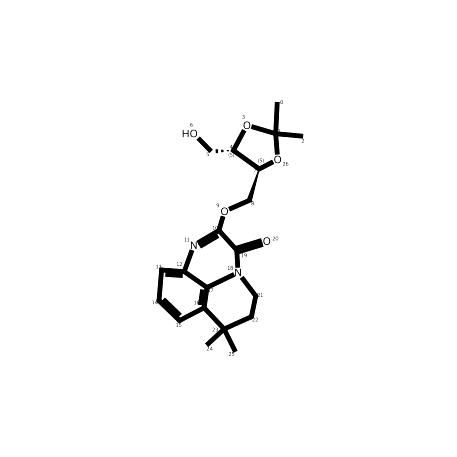 CC1(C)O[C@@H](CO)[C@H](COc2nc3cccc4c3n(c2=O)CCC4(C)C)O1